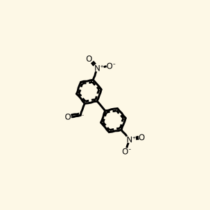 O=[C]c1ccc([N+](=O)[O-])cc1-c1ccc([N+](=O)[O-])cc1